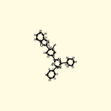 Cc1cc(-c2nc(-c3ccccc3)nc(-c3ccccc3)n2)ccc1-c1nc2ccccc2o1